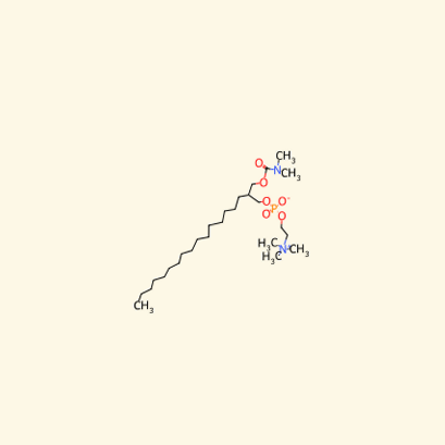 CCCCCCCCCCCCCCCCC(COC(=O)N(C)C)COP(=O)([O-])OCC[N+](C)(C)C